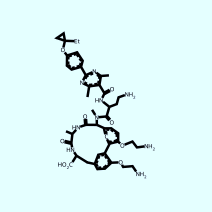 CCC1(Oc2ccc(-c3nc(C)c(C(=O)NC(CCN)C(=O)N(C)C4C(=O)NC(C)C(=O)NC(C(=O)O)Cc5ccc(OCCN)c(c5)-c5cc4ccc5OCCN)c(C)n3)cc2)CC1